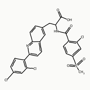 CS(=O)(=O)c1ccc(C(=O)NC(Cc2ccc3nc(-c4ccc(Cl)cc4Cl)ccc3c2)C(=O)O)c(Cl)c1